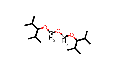 CC(C)C(O[SiH2]O[SiH2]OC(C(C)C)C(C)C)C(C)C